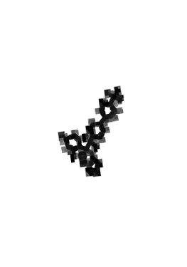 OC(Cn1cnnn1)(c1ccc(F)cc1F)C(F)(F)c1ccc(-c2ccc(C(F)(F)F)nc2)cn1